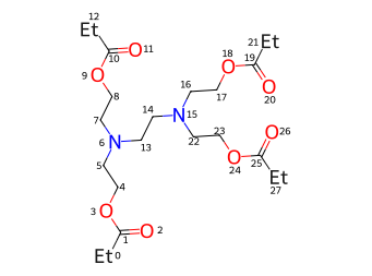 CCC(=O)OCCN(CCOC(=O)CC)CCN(CCOC(=O)CC)CCOC(=O)CC